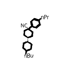 CCCCC1CCC([C@H]2CC[C@](C#N)(c3ccc(CCC)cc3)CC2)CC1